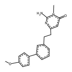 COc1ccc(-c2cccc(CCc3cc(=O)n(C)c(N)n3)c2)cc1